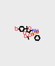 COc1ccc(C2(C)OC(NS(=O)(=O)c3ccccc3)=C(OC(C)=O)C2=O)cc1